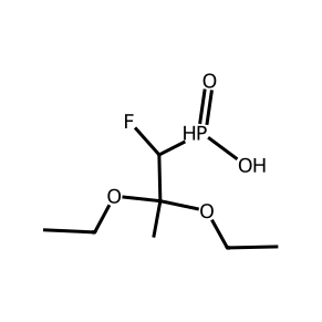 CCOC(C)(OCC)C(F)[PH](=O)O